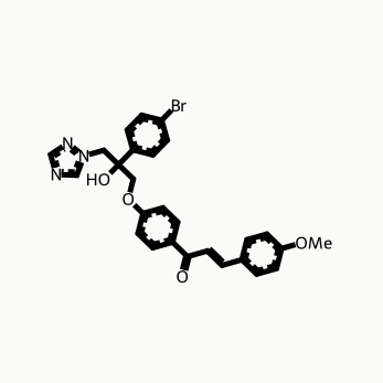 COc1ccc(C=CC(=O)c2ccc(OCC(O)(Cn3cncn3)c3ccc(Br)cc3)cc2)cc1